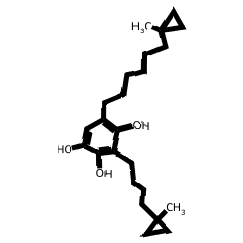 CC1(CCCCCCc2cc(O)c(O)c(CCCCC3(C)CC3)c2O)CC1